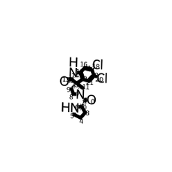 O=C([C@@H]1CCCN1)N1CC[C@]2(C1)C(=O)Nc1cc(Cl)c(Cl)cc12